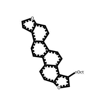 CCCCCCCCc1coc2ccc3c4ccc5c6ccoc6ccc5c4ccc3c12